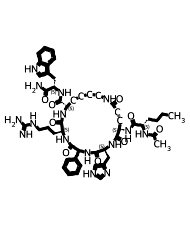 CCCC[C@H](NC(C)=O)C(=O)N[C@H]1CCC(=O)NCCCC[C@@H](C(=O)N[C@@H](Cc2c[nH]c3ccccc23)C(N)=O)NC(=O)[C@H](CCCNC(=N)N)NC(=O)C(c2ccccc2)NC(=O)[C@H](Cc2c[nH]cn2)NC1=O